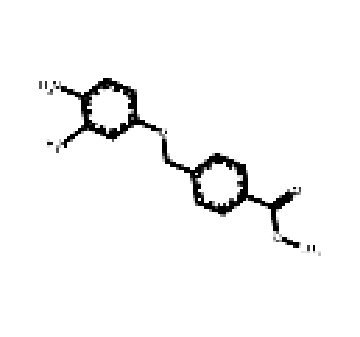 COC(=O)c1ccc(COc2ccc(N)c(N)c2)cc1